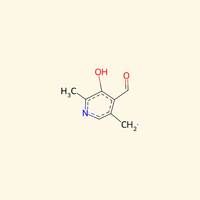 [CH2]c1cnc(C)c(O)c1C=O